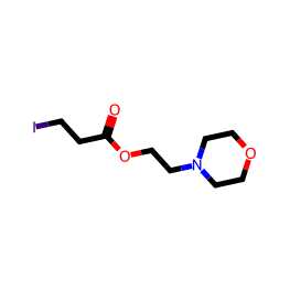 O=C(CCI)OCCN1CCOCC1